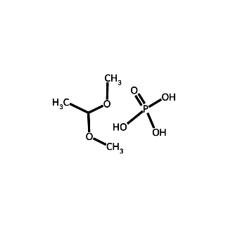 COC(C)OC.O=P(O)(O)O